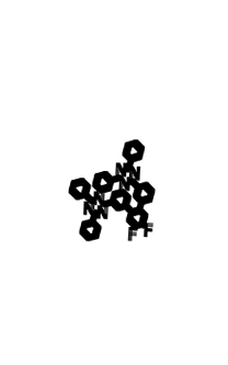 Fc1cc(-c2cccc(-c3nc(-c4ccccc4)nc(-c4ccccc4)n3)c2)c(-c2cccc(-c3nc(-c4ccccc4)nc(-c4ccccc4)n3)c2)cc1F